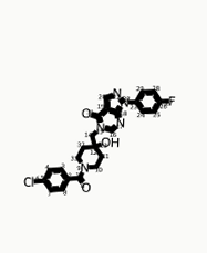 O=C(c1ccc(Cl)cc1)N1CCC(O)(Cn2cnc3c(cnn3-c3ccc(F)cc3)c2=O)CC1